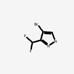 FC(F)C1=N[N]C=C1Br